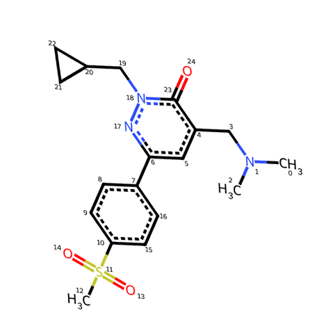 CN(C)Cc1cc(-c2ccc(S(C)(=O)=O)cc2)nn(CC2CC2)c1=O